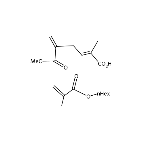 C=C(C)C(=O)OCCCCCC.C=C(CC=C(C)C(=O)O)C(=O)OC